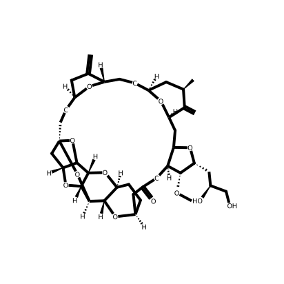 C=C1C[C@@H]2CC[C@@]34C[C@H]5O[C@H]6[C@@H](O3)[C@H]3O[C@H](CC[C@@H]3O[C@H]6C5O4)CC(=O)C[C@H]3C(C[C@H]4O[C@@H](CC[C@@H]1O2)C[C@@H](C)C4=C)O[C@H](C[C@H](O)CO)[C@@H]3OC